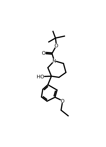 CCOc1cccc(C2(O)CCCN(C(=O)OC(C)(C)C)C2)c1